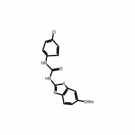 COc1ccc2nc(NC(=O)Nc3ccc(Cl)cc3)sc2c1